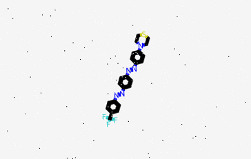 FC(F)(F)c1ccc(N=Nc2ccc(N=Nc3ccc(N4CCSCC4)cc3)cc2)cc1